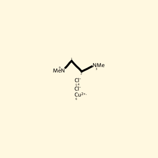 CNCCNC.[Cl-].[Cl-].[Cu+2]